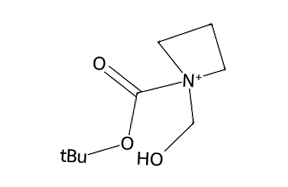 CC(C)(C)OC(=O)[N+]1(CO)CCC1